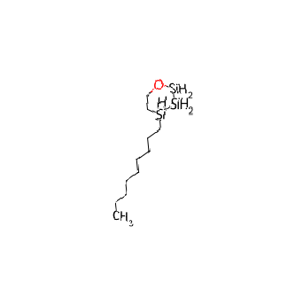 CCCCCCCCC[SiH]1CCO[SiH2][SiH2]1